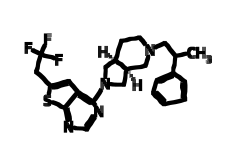 CC(CN1CC[C@@H]2CN(c3ncnc4sc(CC(F)(F)F)cc34)C[C@@H]2C1)c1ccccc1